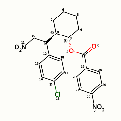 O=C(O[C@H]1CCCC[C@@H]1C(C[N+](=O)[O-])c1ccc(Cl)cc1)c1ccc([N+](=O)[O-])cc1